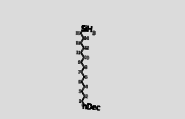 CCCCCCCCCCCCCCCCCCCCCCCCC[SiH3]